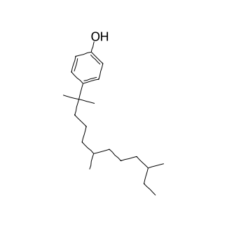 CCC(C)CCCC(C)CCCC(C)(C)c1ccc(O)cc1